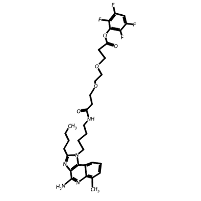 CCCCc1nc2c(N)nc3c(C)cccc3c2n1CCCCNC(=O)CCOCCOCCC(=O)Oc1c(F)c(F)cc(F)c1F